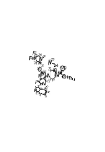 Cc1cccc2cncc(-c3ncc4c(N5CCN(C(=O)OC(C)(C)C)[C@@H](CC#N)C5)nc(OC[C@@H]5CC(F)(F)CN5C)nc4c3F)c12